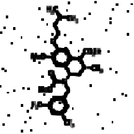 CCOC(=O)N1c2cc(OCCN(C)C)c(OC)cc2[C@@H](N(Cc2cc(C(F)(F)F)cc(C(F)(F)F)c2)C(=O)OC)C[C@H]1C